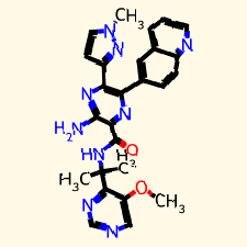 COc1cncnc1C(C)(C)NC(=O)c1nc(-c2ccc3ncccc3c2)c(-c2ccn(C)n2)nc1N